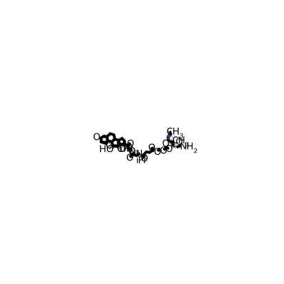 C/C=C/C[C@@H](C)[C@H](CC(N)=O)OC(=O)OCOC(=O)CCC(=O)NC(C(=O)OCC(=O)[C@@]1(O)CCC2C3CCC4=CC(=O)C=C[C@]4(C)C3[C@@H](O)C[C@@]21C)C(C)C